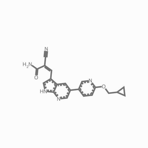 N#CC(=Cc1c[nH]c2ncc(-c3ccc(OCC4CC4)nc3)cc12)C(N)=O